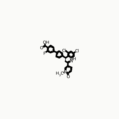 Cn1cc(/C(C[C@@H](c2ccc(-c3ccc(C(=O)O)c(F)c3)cc2)c2ccc(Cl)cc2Cl)=N/O)ccc1=O